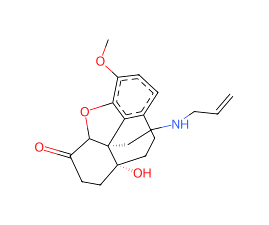 C=CCNCC[C@@]12c3c4ccc(OC)c3OC1C(=O)CC[C@]2(O)CC4